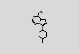 CC1CCC(c2ccc3c(N)ncnn23)CC1